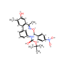 C/C(=N\OCc1ccc([N+](=O)[O-])cc1)c1cc(O)c(C)cc1-c1cccc(NC(=O)OC(C)(C)C)c1